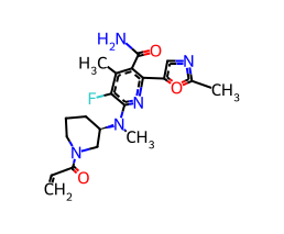 C=CC(=O)N1CCC[C@@H](N(C)c2nc(-c3cnc(C)o3)c(C(N)=O)c(C)c2F)C1